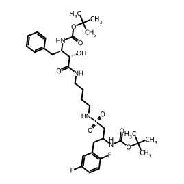 CC(C)(C)OC(=O)NC(Cc1cc(F)ccc1F)CS(=O)(=O)NCCCCNC(=O)[C@@H](O)[C@@H](Cc1ccccc1)NC(=O)OC(C)(C)C